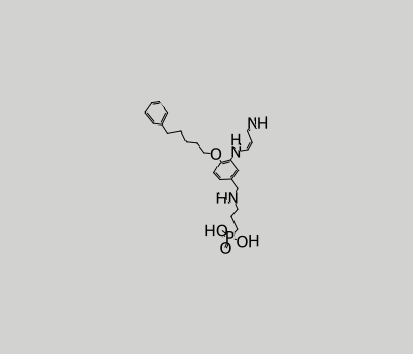 N=C/C=C\Nc1cc(CNCCCP(=O)(O)O)ccc1OCCCCCc1ccccc1